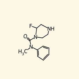 CN(C(=O)N1CCNCC1F)c1ccccc1